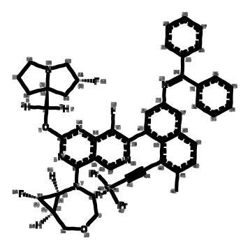 [2H]C([2H])(Oc1nc(N2CCOC[C@H]3[C@H](F)[C@H]32)c2cnc(-c3cc(N=C(c4ccccc4)c4ccccc4)cc4ccc(C)c(C#C[Si](C(C)C)(C(C)C)C(C)C)c34)c(F)c2n1)[C@@]12CCCN1C[C@H](F)C2